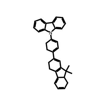 CC1(C)C2=C(CCC(C3=CC=C(n4c5ccccc5c5ccccc54)CC3)=C2)C2=CC=CCC21